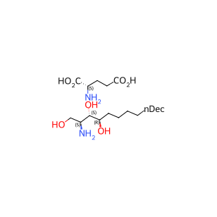 CCCCCCCCCCCCCC[C@@H](O)[C@@H](O)[C@@H](N)CO.N[C@@H](CCC(=O)O)C(=O)O